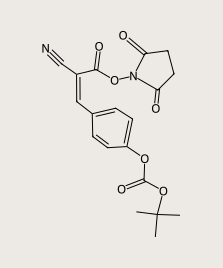 CC(C)(C)OC(=O)Oc1ccc(C=C(C#N)C(=O)ON2C(=O)CCC2=O)cc1